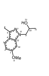 COc1ccc2c(C)nn(CC(C)O)c2c1